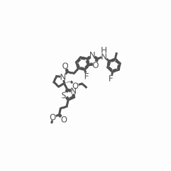 CCOC[C@]1(c2ncc(CCC(=O)OC)s2)CCCN1C(=O)Cc1ccc2nc(Nc3cc(F)ccc3C)oc2c1F